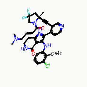 COc1c(Cl)cccc1Nc1c(-c2ccncc2C#C[C@@]2(C)CC(F)(F)CN2C(=O)/C=C/CN(C)C)[nH]c2c1C(=O)NCC2